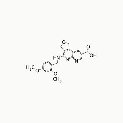 COc1ccc(CNc2nc3ncc(C(=O)O)cc3c3c2COC3)c(OC)c1